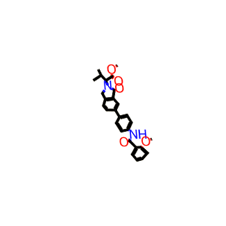 COC(=O)C(C(C)C)N1Cc2ccc(-c3ccc(NC(=O)c4ccccc4OC)cc3)cc2C1=O